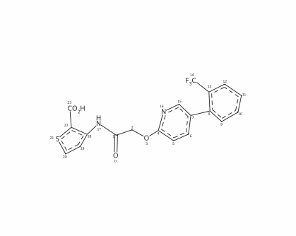 O=C(COc1ccc(-c2ccccc2C(F)(F)F)cn1)Nc1ccsc1C(=O)O